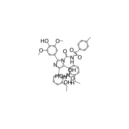 CCc1cccc(-c2nc(-c3cc(OC)c(O)c(OC)c3)n(C(=O)NS(=O)(=O)c3ccc(C)cc3)c2-c2cccc(CC)c2N(O)O)c1N(O)O